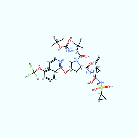 C=C[C@@H]1C[C@]1(NC(=O)[C@@H]1C[C@@H](Oc2nccc3c(OC(F)(F)F)cccc23)CN1C(=O)[C@@H](NC(=O)OC(C)(C)C)C(C)(C)C)C(=O)NS(=O)(=O)C1CC1